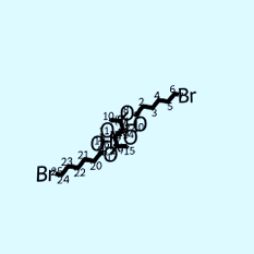 O=C(CCCCCBr)O[C@@H]1CO[C@H]2[C@@H]1OC[C@H]2OC(=O)CCCCCBr